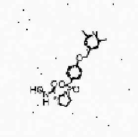 Cc1cc(COc2ccc(S(=O)(=O)N3CCC[C@@H]3C(=O)NO)cc2)cc(C)n1